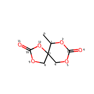 CC1OC(=O)OCC12COC(=O)O2